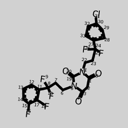 O=C1CC(=O)N(CCC(F)(F)c2cccc(F)c2F)C(=O)N1CCC(F)(F)c1ccc(Cl)cc1